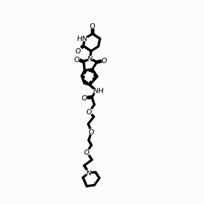 O=C1CCC(N2C(=O)c3ccc(NC(=O)COCCOCCOCCN4CCCCC4)cc3C2=O)C(=O)N1